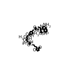 CCN(Cc1nc2c(N)nc3ccccc3c2n1CC(C)(C)O)C(=O)OCc1ccc(NC(=O)[C@H](C)NC(=O)[C@@H](NC(=O)CCCCCN2C(=O)C=CC2=O)C(C)C)cc1